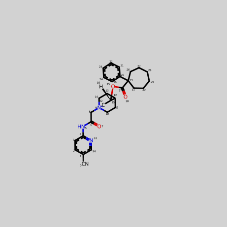 N#Cc1ccc(NC(=O)C[N+]23CCC(CC2)[C@@H](OC(=O)C2(c4ccccc4)CCCCCC2)C3)nc1